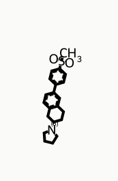 CS(=O)(=O)c1ccc(-c2ccc3c(c2)CC[C@H](N2CCCC2)C3)cc1